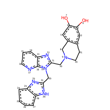 Oc1cc2c(cc1O)CN(Cc1nc3cccnc3n1Cc1nc3ccccc3[nH]1)CC2